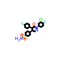 NS(=O)(=O)c1ccc(-c2cnn(-c3ccc(F)c(Cl)c3)c(=O)c2-c2ccc(F)cc2)cc1